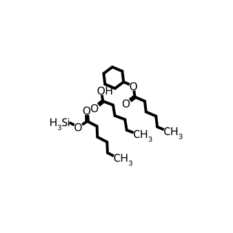 CCCCCC(=O)O.CCCCCC(=O)OC1CCCCC1.CCCCCC(=O)O[SiH3]